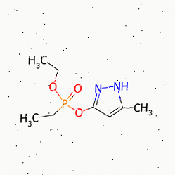 CCOP(=O)(CC)Oc1cc(C)[nH]n1